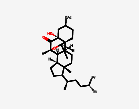 CC[C@H](CC[C@@H](C)[C@H]1CC[C@H]2[C@@H]3[C@H]4O[C@H](C)[C@@]5(CC[C@H](OC(C)=O)C[C@]5(O)C4=O)[C@H]3CC[C@]12C)C(C)C